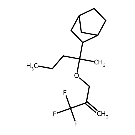 C=C(COC(C)(CCC)C1CC2CCC1C2)C(F)(F)F